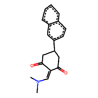 CN(C)C=C1C(=O)CC(c2ccc3ccccc3c2)CC1=O